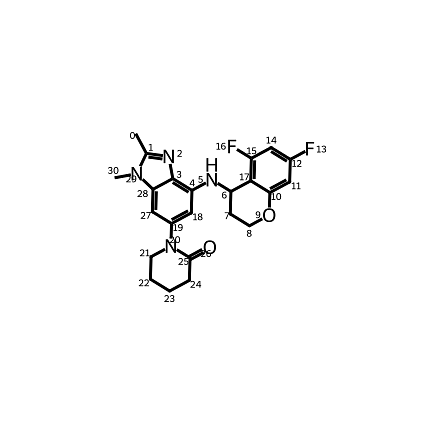 Cc1nc2c(NC3CCOc4cc(F)cc(F)c43)cc(N3CCCCC3=O)cc2n1C